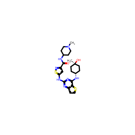 CN1CCC(NC(=O)c2cc(Nc3nc(N[C@H]4CC[C@](C)(O)CC4)c4sccc4n3)sn2)CC1